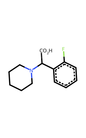 O=C(O)C(c1ccccc1F)N1CCCCC1